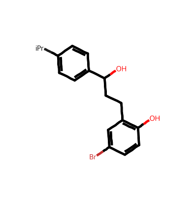 CC(C)c1ccc(C(O)CCc2cc(Br)ccc2O)cc1